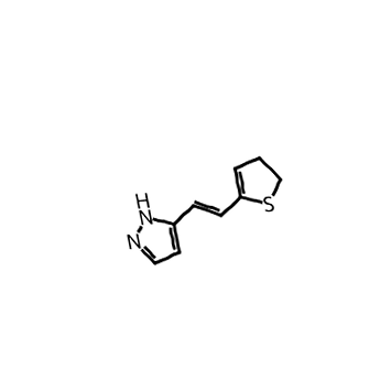 C1=C(/C=C/c2ccn[nH]2)SCC1